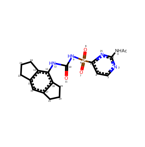 CC(=O)Nc1nccc(S(=O)(=O)NC(=O)Nc2c3c(cc4c2CCC4)CCC3)n1